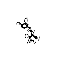 N#C/C(=N/OCc1ccc(Cl)c(Cl)c1)C(N)=O